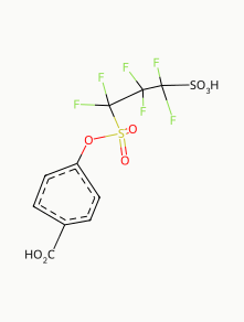 O=C(O)c1ccc(OS(=O)(=O)C(F)(F)C(F)(F)C(F)(F)S(=O)(=O)O)cc1